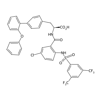 O=C(N[C@@H](Cc1ccc(-c2ccccc2Oc2ccccc2)cc1)C(=O)O)c1cc(Cl)ccc1NS(=O)(=O)c1cc(C(F)(F)F)cc(C(F)(F)F)c1